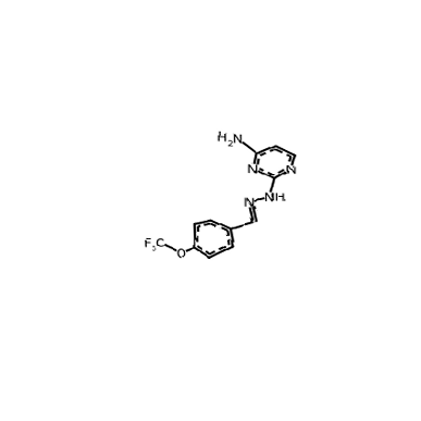 Nc1ccnc(NN=Cc2ccc(OC(F)(F)F)cc2)n1